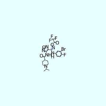 CC(C)N1CCC(C(=O)Nc2nonc2/C(=N\OC(=O)C(F)(F)F)Nc2ccc(F)c(Br)c2)CC1